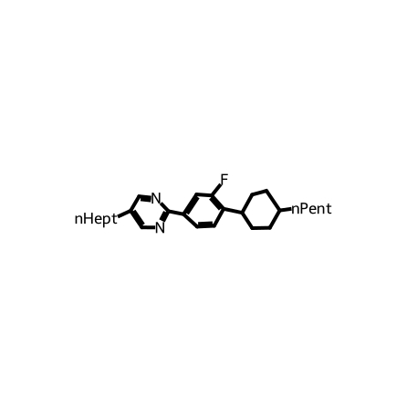 CCCCCCCc1cnc(-c2ccc(C3CCC(CCCCC)CC3)c(F)c2)nc1